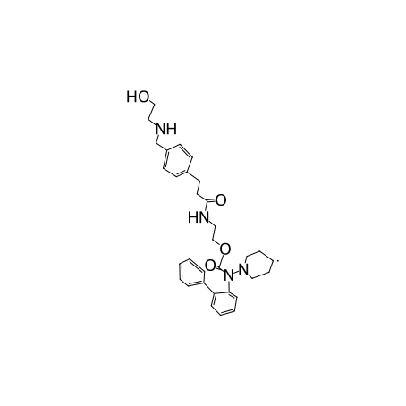 O=C(CCc1ccc(CNCCO)cc1)NCCOC(=O)N(c1ccccc1-c1ccccc1)N1CC[CH]CC1